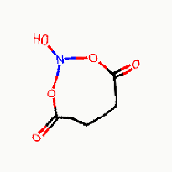 O=C1CCC(=O)ON(O)O1